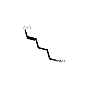 CNCCCC=CC=O